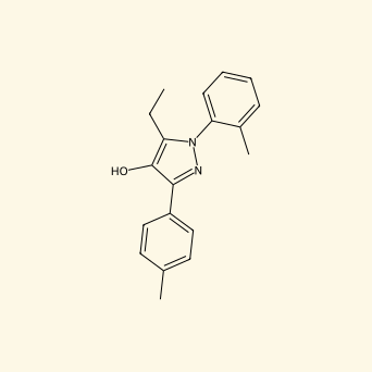 CCc1c(O)c(-c2ccc(C)cc2)nn1-c1ccccc1C